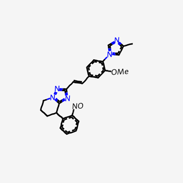 COc1cc(/C=C/c2nc3n(n2)CCCC3c2ccccc2N=O)ccc1-n1cnc(C)c1